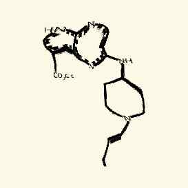 CC=CN1CCC(Nc2cnc3[nH]cc(C(=O)OCC)c3n2)CC1